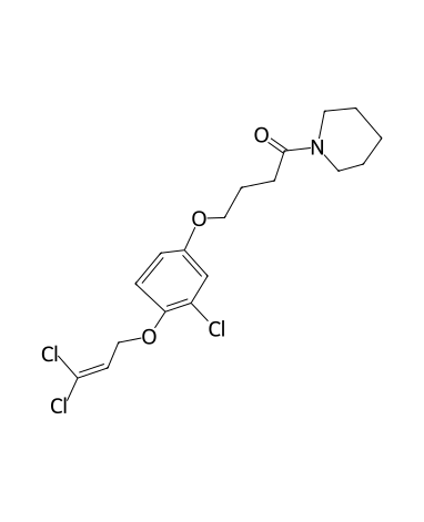 O=C(CCCOc1ccc(OCC=C(Cl)Cl)c(Cl)c1)N1CCCCC1